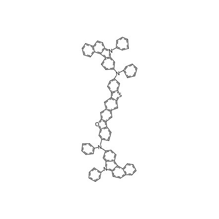 c1ccc(N(c2ccc3c(c2)oc2cc4cc5c(cc4cc23)sc2cc(N(c3ccccc3)c3ccc4c6c7ccccc7ccc6n(-c6ccccc6)c4c3)ccc25)c2ccc3c4c5ccccc5ccc4n(-c4ccccc4)c3c2)cc1